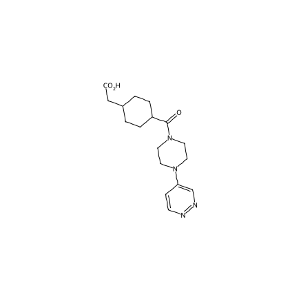 O=C(O)CC1CCC(C(=O)N2CCN(c3ccnnc3)CC2)CC1